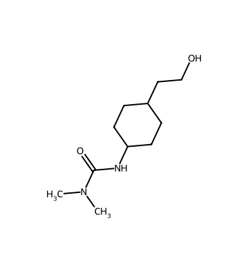 CN(C)C(=O)NC1CCC(CCO)CC1